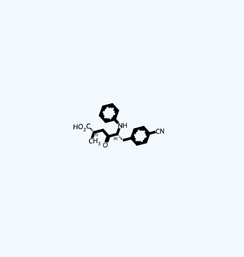 C[C@@H](CC(=O)[C@@H](Cc1ccc(C#N)cc1)Nc1ccccc1)C(=O)O